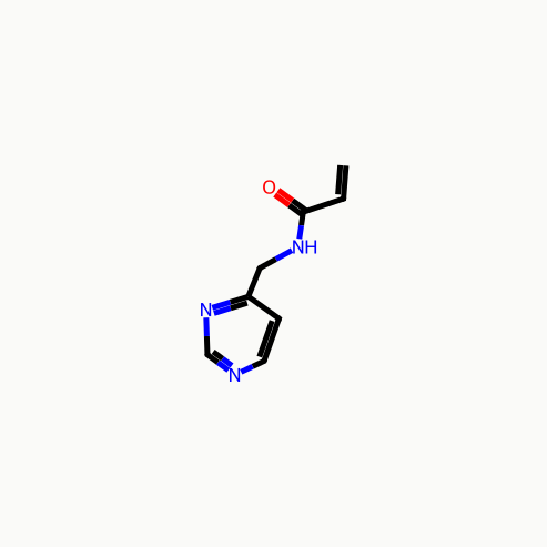 C=CC(=O)NCc1ccncn1